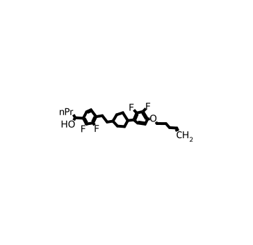 C=CCCCOc1ccc(C2CCC(CCc3ccc(C(O)CCC)c(F)c3F)CC2)c(F)c1F